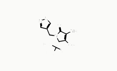 CC(C)(C)[C@H]1C(O)=C(N)C(=O)N1Cc1cn[nH]c1